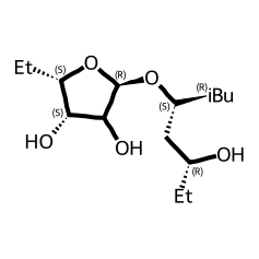 CC[C@@H](O)C[C@H](O[C@@H]1O[C@@H](CC)[C@@H](O)C1O)[C@H](C)CC